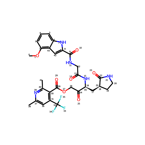 COc1cccc2[nH]c(C(=O)NCC(=O)N[C@@H](C[C@@H]3CCNC3=O)C(=O)COC(=O)c3c(C(F)(F)F)cc(C)nc3C)cc12